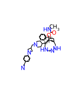 CNC(=O)O[C@H]1CC2=C[C@@H]1[C@](c1ccccc1)(C1CCN(CC3CN(c4ccc(C#N)cc4)C3)CC1)CN/C=N\NC2